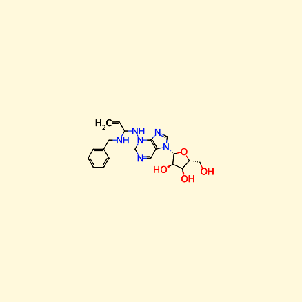 C=CC(NCc1ccccc1)NN1CN=Cc2c1ncn2[C@@H]1O[C@H](CO)[C@@H](O)[C@H]1O